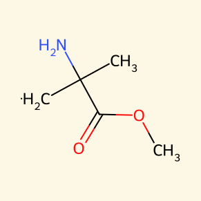 [CH2]C(C)(N)C(=O)OC